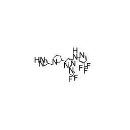 FC1(F)CN(c2nc(Nc3cc(C(F)(F)F)ccn3)cc(C3CCCN(Cc4cn[nH]c4)C3)n2)C1